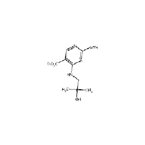 CCOC(=O)c1cnc(SC)nc1NCC(C)(C)O